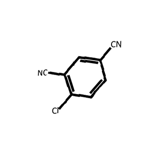 N#Cc1ccc(Cl)c(C#N)c1